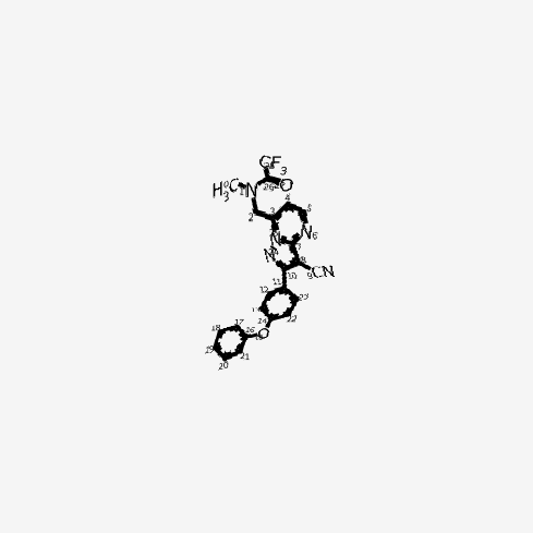 CN(Cc1ccnc2c(C#N)c(-c3ccc(Oc4ccccc4)cc3)nn12)C(=O)C(F)(F)F